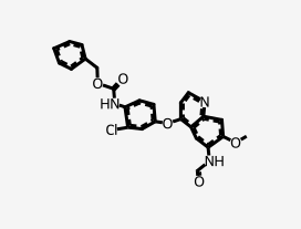 COc1cc2nccc(Oc3ccc(NC(=O)OCc4ccccc4)c(Cl)c3)c2cc1NC=O